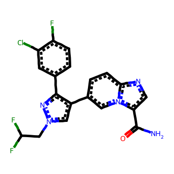 NC(=O)c1cnc2ccc(-c3cn(CC(F)F)nc3-c3ccc(F)c(Cl)c3)cn12